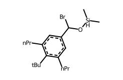 CCCc1cc(C(Br)O[SiH](C)C)cc(CCC)c1C(C)(C)C